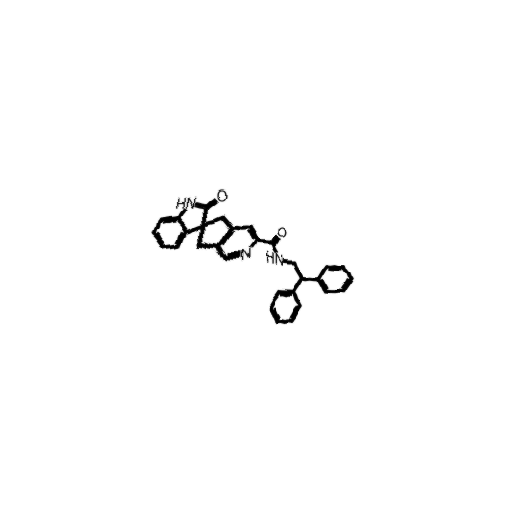 O=C(NCC(c1ccccc1)c1ccccc1)c1cc2c(cn1)CC1(C2)C(=O)Nc2ccccc21